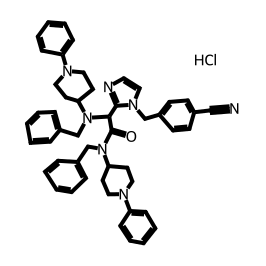 Cl.N#Cc1ccc(Cn2ccnc2C(C(=O)N(Cc2ccccc2)C2CCN(c3ccccc3)CC2)N(Cc2ccccc2)C2CCN(c3ccccc3)CC2)cc1